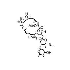 C/C=C/[C@H]1O[C@@](O)([C@@H](C)[C@H](O)[C@H](C)[C@H]2OC(=O)/C(OC)=C/C(C)=C/[C@@H](C)[C@@H](O)[C@@H](CC)[C@@H](O)[C@H](C)C/C(C)=C/C=C/[C@@H]2OC)C[C@@H](OC2CC(O)C(C)C(C)O2)[C@@H]1C